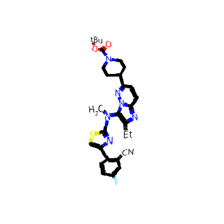 CCc1nc2ccc(C3CCN(C(=O)OC(C)(C)C)CC3)nn2c1N(C)c1nc(-c2ccc(F)cc2C#N)cs1